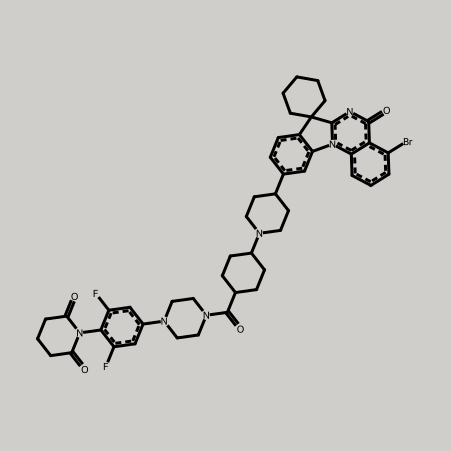 O=C(C1CCC(N2CCC(c3ccc4c(c3)-n3c(nc(=O)c5c(Br)cccc53)C43CCCCC3)CC2)CC1)N1CCN(c2cc(F)c(N3C(=O)CCCC3=O)c(F)c2)CC1